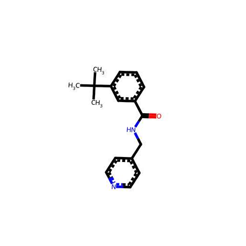 CC(C)(C)c1cccc(C(=O)NCc2ccncc2)c1